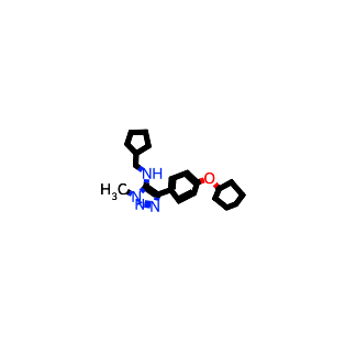 Cn1nnc(-c2ccc(OC3CCCCC3)cc2)c1NCC1CCCC1